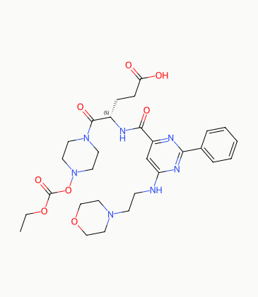 CCOC(=O)ON1CCN(C(=O)[C@H](CCC(=O)O)NC(=O)c2cc(NCCN3CCOCC3)nc(-c3ccccc3)n2)CC1